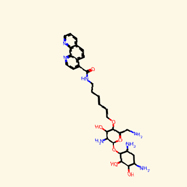 NCC1OC(OC2C(N)CC(N)C(O)C2O)C(N)C(O)C1OCCCCCCNC(=O)c1ccnc2c1ccc1cccnc12